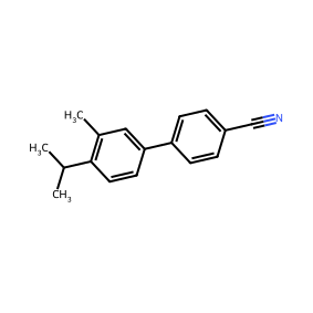 Cc1cc(-c2ccc(C#N)cc2)ccc1C(C)C